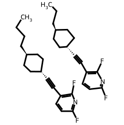 CCCC[C@H]1CC[C@H](C#Cc2ccc(F)nc2F)CC1.CCC[C@H]1CC[C@H](C#Cc2ccc(F)nc2F)CC1